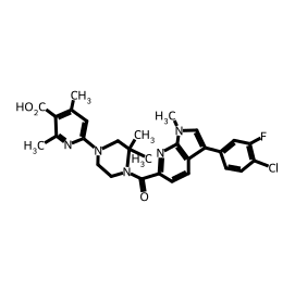 Cc1cc(N2CCN(C(=O)c3ccc4c(-c5ccc(Cl)c(F)c5)cn(C)c4n3)C(C)(C)C2)nc(C)c1C(=O)O